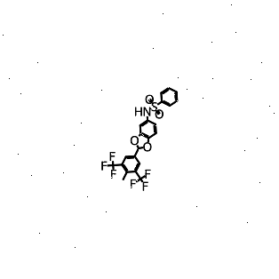 Cc1c(C(F)(F)F)cc(C2Oc3ccc(NS(=O)(=O)c4ccccc4)cc3O2)cc1C(F)(F)F